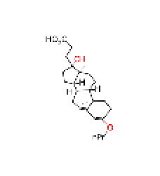 CCCOC1=CC2=CC[C@@H]3[C@H](CC[C@@]4(C)[C@H]3CC[C@@]4(O)CCC(=O)O)[C@@]2(C)CC1